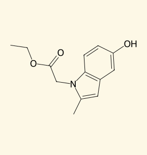 CCOC(=O)Cn1c(C)cc2cc(O)ccc21